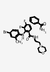 Cc1cc(Br)ccc1Nc1c(C(=O)NCCN2CCOCC2)ccc(F)c1F.NC(=O)c1ccccc1